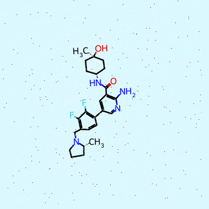 C[C@@H]1CCCN1Cc1ccc(-c2cnc(N)c(C(=O)N[C@H]3CC[C@](C)(O)CC3)c2)c(F)c1F